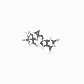 Nc1nc(Cl)c2ncn(CC3(OC(CC(F)(F)F)(CC(F)(F)F)P(=O)(O)O)CC3)c2n1